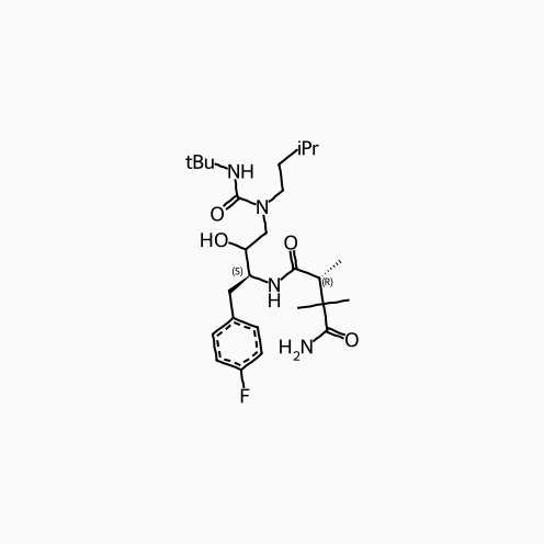 CC(C)CCN(CC(O)[C@H](Cc1ccc(F)cc1)NC(=O)[C@H](C)C(C)(C)C(N)=O)C(=O)NC(C)(C)C